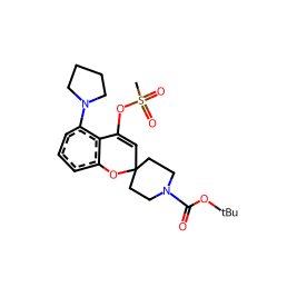 CC(C)(C)OC(=O)N1CCC2(C=C(OS(C)(=O)=O)c3c(cccc3N3CCCC3)O2)CC1